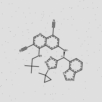 CC(C)(C)CNc1c(C#N)cnc2c(C#N)cc(N[C@H](c3cn(C4(C)CC4)nn3)c3cccc4ncsc34)cc12